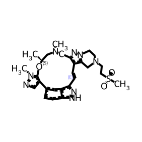 C[C@H]1CN(C)Cc2nn3c(c2/C=C/c2n[nH]c4ccc(cc24)-c2cnn(C)c2O1)CN(CCS(C)(=O)=O)CC3